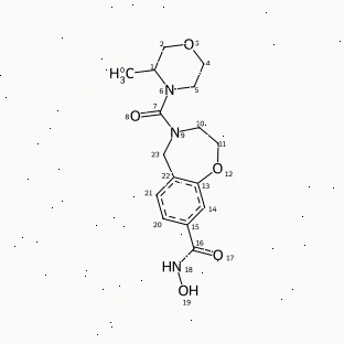 CC1COCCN1C(=O)N1CCOc2cc(C(=O)NO)ccc2C1